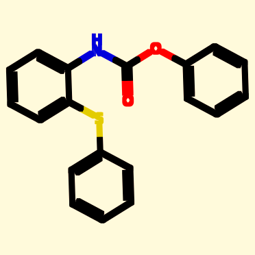 O=C(Nc1ccccc1Sc1ccccc1)Oc1ccccc1